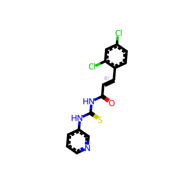 O=C(/C=C/c1ccc(Cl)cc1Cl)NC(=S)Nc1cccnc1